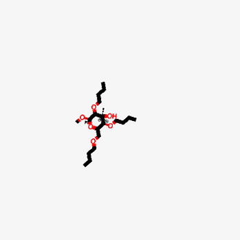 CCCCOCC1O[C@@H](OC)C(OCCCC)[C@@](C)(O)[C@H]1OCCCC